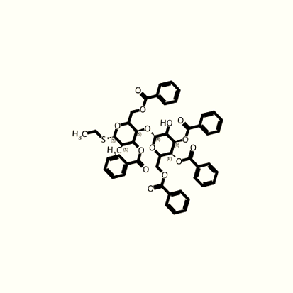 CCS[C@@H]1OC(COC(=O)c2ccccc2)[C@@H](O[C@H]2OC(COC(=O)c3ccccc3)[C@@H](OC(=O)c3ccccc3)[C@H](OC(=O)c3ccccc3)C2O)C(OC(=O)c2ccccc2)[C@@H]1C